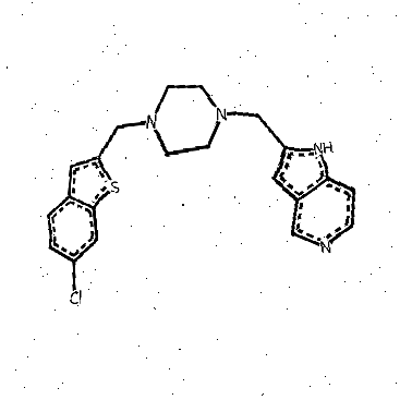 Clc1ccc2cc(CN3CCN(Cc4cc5cnccc5[nH]4)CC3)sc2c1